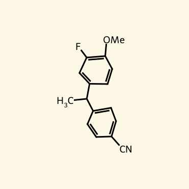 COc1ccc(C(C)c2ccc(C#N)cc2)cc1F